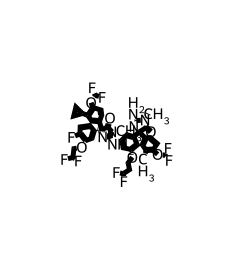 CN1C(=O)[C@](c2ccc(F)c(OCC(F)F)c2)(c2ccc(OC(F)F)c(C3CC3)c2)N=C1N.Cc1cc(C2(c3cccc(OCCC(F)F)c3)N=C(N)N(C)C2=O)ccc1OC(F)F